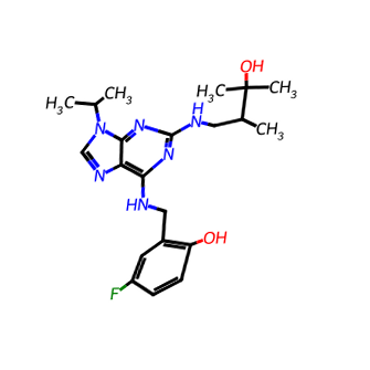 CC(C)n1cnc2c(NCc3cc(F)ccc3O)nc(NCC(C)C(C)(C)O)nc21